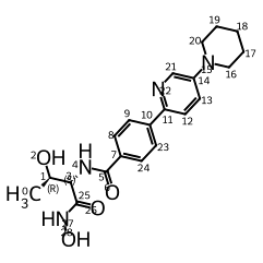 C[C@@H](O)[C@H](NC(=O)c1ccc(-c2ccc(N3CCCCC3)cn2)cc1)C(=O)NO